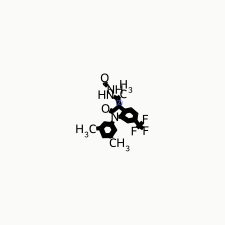 C/C(NNC=O)=C1/C(=O)N(c2cc(C)cc(C)c2)c2cc(C(F)(F)F)ccc21